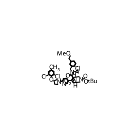 COCCc1ccc(Cl)c(CN(C(=O)C2=C(c3ccc(N4CCC(Oc5c(Cl)cc(C)cc5Cl)C4)nc3)C[C@H]3CN(C(=O)OC(C)(C)C)C[C@@H]2N3C(=O)O)C2CC2)c1